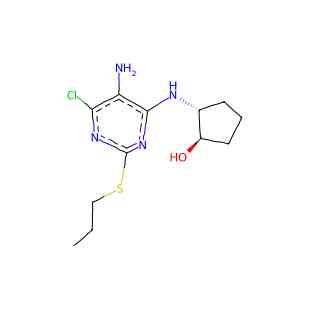 CCCSc1nc(Cl)c(N)c(N[C@@H]2CCC[C@H]2O)n1